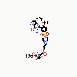 CCCc1cn(C)c2c(=O)[nH]c(-c3cc(S(=O)(=O)N4CCN(CCCOC(=O)[C@@H](NC(=O)OC(C)(C)C)C(C)C)CC4)ccc3OCC)nc12